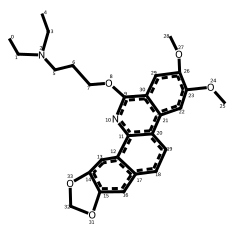 CCN(CC)CCCOc1nc2c3cc4c(cc3ccc2c2cc(OC)c(OC)cc12)OCO4